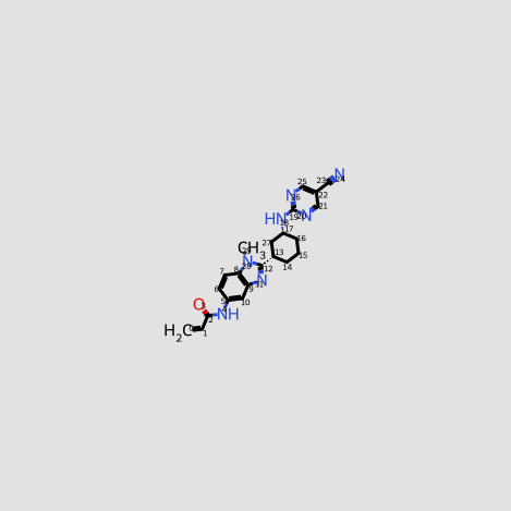 C=CC(=O)Nc1ccc2c(c1)nc([C@H]1CCC[C@@H](Nc3ncc(C#N)cn3)C1)n2C